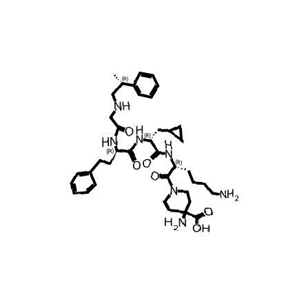 C[C@@H](CNCC(=O)N[C@H](CCc1ccccc1)C(=O)N[C@H](CC1CC1)C(=O)N[C@H](CCCCN)C(=O)N1CCC(N)(C(=O)O)CC1)c1ccccc1